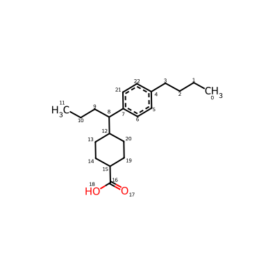 CCCCc1ccc(C(CCC)C2CCC(C(=O)O)CC2)cc1